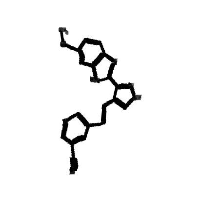 COc1ccc2nc(-c3n[nH]cc3/C=C/c3cncc(C#N)c3)[nH]c2c1